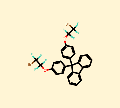 FC(F)(Br)C(F)(F)Oc1ccc(C2(c3ccc(OC(F)(F)C(F)(F)Br)cc3)c3ccccc3-c3ccccc32)cc1